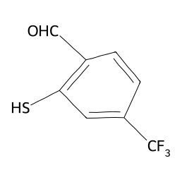 O=Cc1ccc(C(F)(F)F)cc1S